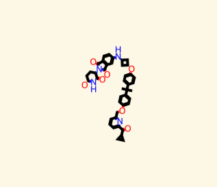 CC(C)(c1ccc(OCc2cccc(C(=O)C3CC3)n2)cc1)c1ccc(O[C@H]2C[C@H](Nc3ccc4c(c3)C(=O)N(C3CCC(=O)NC3=O)C4=O)C2)cc1